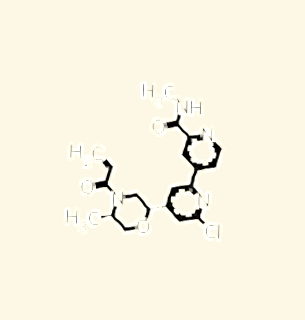 C=CC(=O)N1C[C@H](c2cc(Cl)nc(-c3ccnc(C(=O)NC)c3)c2)OC[C@H]1C